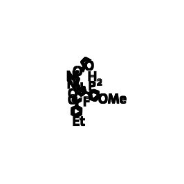 CCc1ccc(C(=O)C[C@@H]2C(=O)N(c3cc(OCC4CCCO4)ncn3)C[C@H]2c2c(F)cc(OC)cc2P)cc1